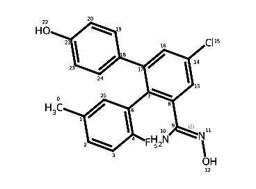 Cc1ccc(F)c(-c2c(/C(N)=N/O)cc(Cl)cc2-c2ccc(O)cc2)c1